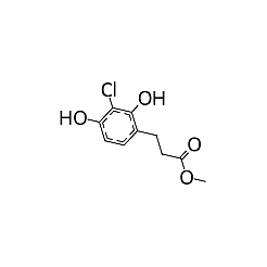 COC(=O)CCc1ccc(O)c(Cl)c1O